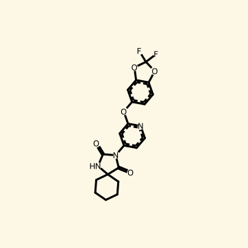 O=C1NC2(CCCCC2)C(=O)N1c1ccnc(Oc2ccc3c(c2)OC(F)(F)O3)c1